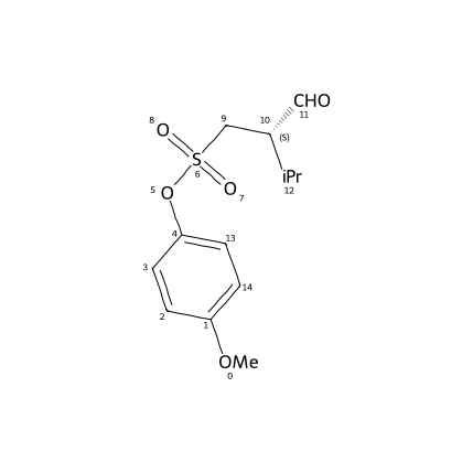 COc1ccc(OS(=O)(=O)C[C@H](C=O)C(C)C)cc1